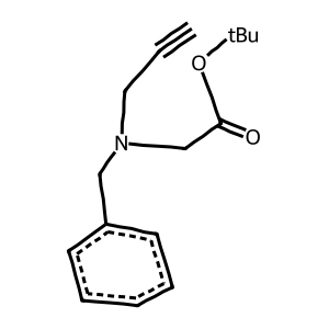 C#CCN(CC(=O)OC(C)(C)C)Cc1ccccc1